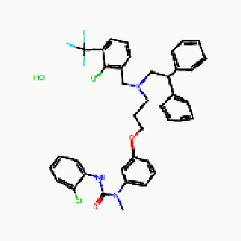 CN(C(=O)Nc1ccccc1Cl)c1cccc(OCCCN(Cc2cccc(C(F)(F)F)c2Cl)CC(c2ccccc2)c2ccccc2)c1.Cl